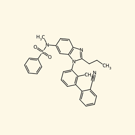 CCCc1nc2ccc(N(C)S(=O)(=O)c3ccccc3)cc2n1-c1cccc(-c2ccccc2C#N)c1C